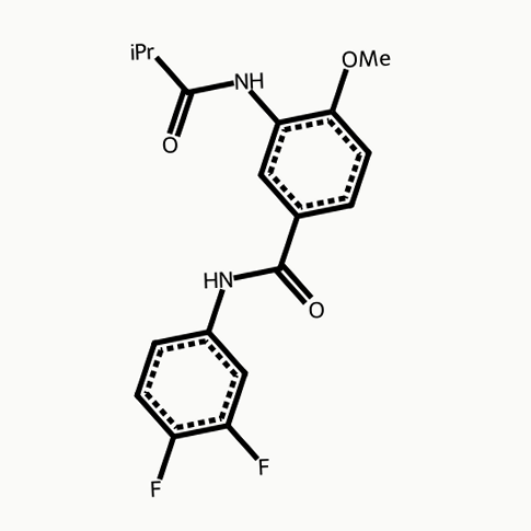 COc1ccc(C(=O)Nc2ccc(F)c(F)c2)cc1NC(=O)C(C)C